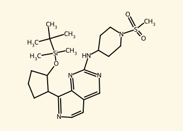 CC(C)(C)[Si](C)(C)OC1CCCC1c1nccc2cnc(NC3CCN(S(C)(=O)=O)CC3)nc12